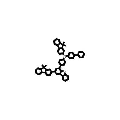 CC1(C)c2ccccc2-c2ccc(-c3cc(-c4ccc(N(c5ccc(-c6ccccc6)cc5)c5ccc6c(c5)C(C)(C)c5ccccc5-6)cc4)c4sc5ccccc5c4c3)cc21